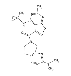 Cc1nc(NC2(C)CC2)c2c(C(=O)N3CCc4cnc(C(C)C)nc4C3)coc2n1